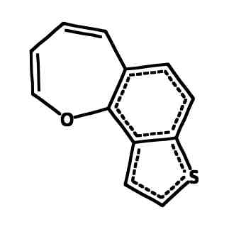 C1=COc2c(ccc3sccc23)C=C1